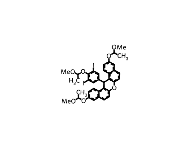 COC(C)Oc1ccc2c3c(ccc2c1)Oc1ccc2cc(OC(C)OC)ccc2c1C3c1cc(I)c(OC(C)OC)c(I)c1